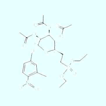 CCOP(=O)(CC[C@H]1O[C@H](Oc2ccc([N+](=O)[O-])c(C)c2)[C@@H](OC(C)=O)[C@@H](OC(C)=O)[C@@H]1OC(C)=O)OCC